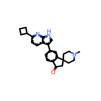 CN1CCC2(CC1)CC(=O)c1ccc(-c3c[nH]c4nc(C5CCC5)ccc34)cc12